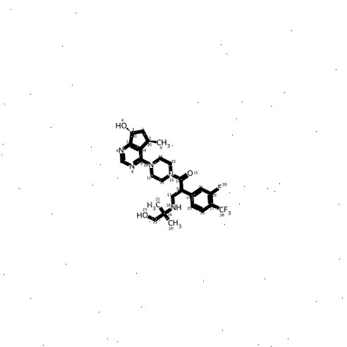 C[C@@H]1C[C@@H](O)c2ncnc(N3CCN(C(=O)C(CNC(C)(C)CO)c4ccc(C(F)(F)F)c(F)c4)CC3)c21